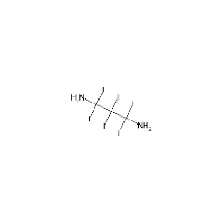 NC(I)(I)C(I)(I)C(N)(I)I